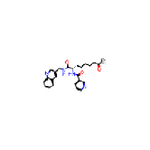 CCC(=O)CCCCC[C@H](NC(=O)c1cccnc1)C(=O)NCc1cnc2ccccc2c1